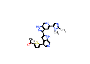 CC(=O)c1ccc(-c2cncc3[nH]c(-c4n[nH]c5cnc(-c6cnc(C)n6C)cc45)cc23)s1